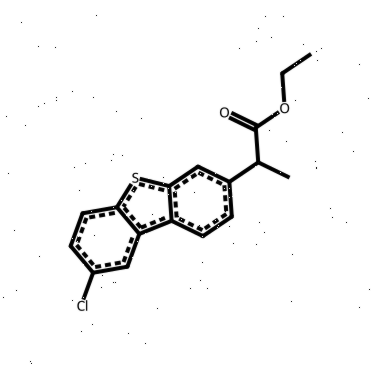 CCOC(=O)C(C)c1ccc2c(c1)sc1ccc(Cl)cc12